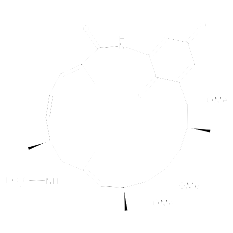 CO[C@H]1[C@@H](OC)C[C@H](C)[C@@H](OC)C2=CC(=O)C=C(NC(=O)/C(C)=C/C=C\[C@H](C)[C@@H](NC(=O)O)/C(C)=C/[C@@H]1C)C2=O